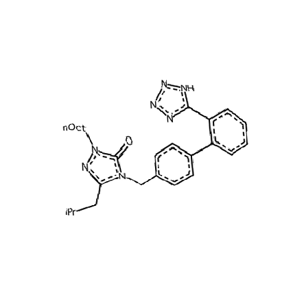 CCCCCCCCn1nc(CC(C)C)n(Cc2ccc(-c3ccccc3-c3nnn[nH]3)cc2)c1=O